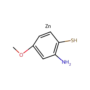 COc1ccc(S)c(N)c1.[Zn]